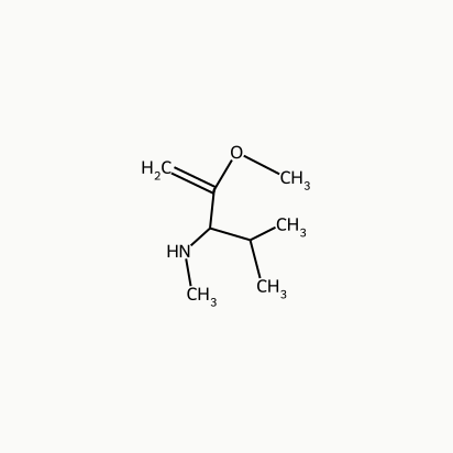 C=C(OC)C(NC)C(C)C